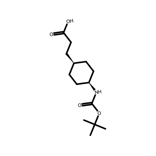 CC(C)(C)OC(=O)N[C@H]1CC[C@@H](CCC(=O)O)CC1